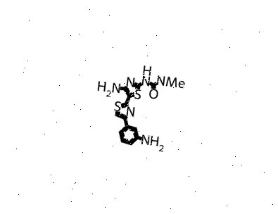 CNC(=O)Nc1nc(N)c(-c2nc(-c3cccc(N)c3)cs2)s1